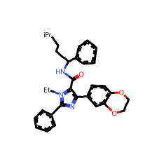 CCn1c(-c2ccccc2)nc(-c2ccc3c(c2)OCCO3)c1C(=O)NC(CCC(C)C)c1ccccc1